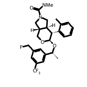 CNC(=O)N1C[C@H]2CO[C@H](O[C@H](C)c3cc(CF)cc(C(F)(F)F)c3)[C@@H](c3ccccc3C)[C@@H]2C1